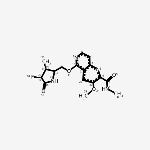 CNC(=O)c1nc2ccnc(OCC3NC(=O)[C@@H](F)[C@H]3C)c2cc1OC